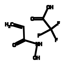 C=CC(=O)NO.O=C(O)C(F)(F)F